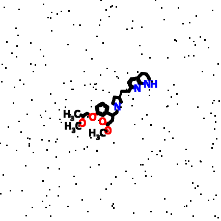 COC(=O)CC(CN1CC[C@@H](CCc2ccc3c(n2)NCCC3)C1)c1cccc(OCC(C)OC)c1